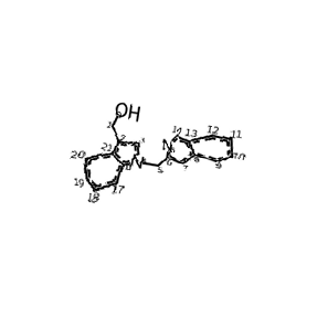 OCc1cn(Cc2cc3ccccc3cn2)c2ccccc12